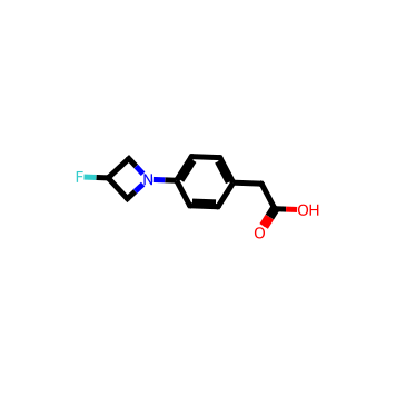 O=C(O)Cc1ccc(N2CC(F)C2)cc1